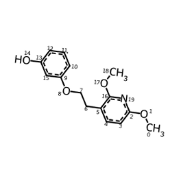 COc1ccc(CCOc2c[c]cc(O)c2)c(OC)n1